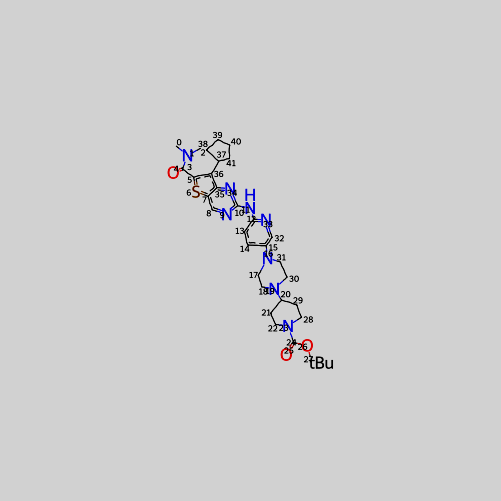 CN(C)C(=O)c1sc2cnc(Nc3ccc(N4CCN(C5CCN(C(=O)OC(C)(C)C)CC5)CC4)cn3)nc2c1C1CCCC1